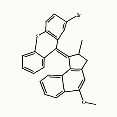 COc1cc2c(c3ccccc13)C(=C1c3ccccc3Sc3ccc(Br)cc31)C(C)C2